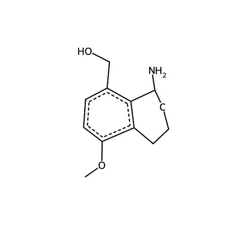 COc1ccc(CO)c2c1CCCC2N